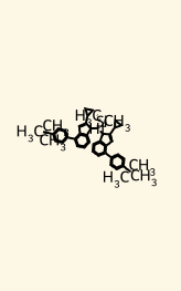 C[Si](C)=[Hf]([CH]1C(C2CC2)=Cc2c(-c3ccc(C(C)(C)C)cc3)cccc21)[CH]1C(C2CC2)=Cc2c(-c3ccc(C(C)(C)C)cc3)cccc21